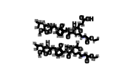 CCOC(=O)/C=C/CC[C@H](NC(=O)CCC(=O)O)C(=O)Nc1cccn(CC(=O)N[C@@H](CC(C)C)C(=O)OC)c1=O.CCOC(=O)/C=C/CC[C@H](NC(C)=O)C(=O)Nc1cccn(CC(=O)N[C@H](CC(C)C)C(=O)OC)c1=O